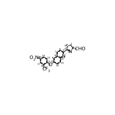 O=C[C@H]1CSC(c2ccc3cc(Oc4ccc([N+](=O)[O-])cc4C(F)(F)F)ccc3n2)=N1